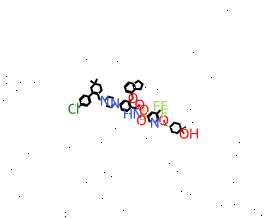 CC1(C)CCC(CN2CCN(c3ccc(C(=O)NS(=O)(=O)c4cnc(OC[C@H]5CC[C@@](C)(O)CC5)c(C(F)(F)F)c4)c(Oc4cccc5c4CCC5)c3)CC2)=C(c2ccc(Cl)cc2)C1